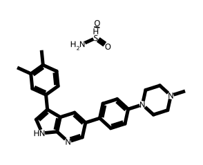 Cc1ccc(-c2c[nH]c3ncc(-c4ccc(N5CCN(C)CC5)cc4)cc23)cc1C.N[SH](=O)=O